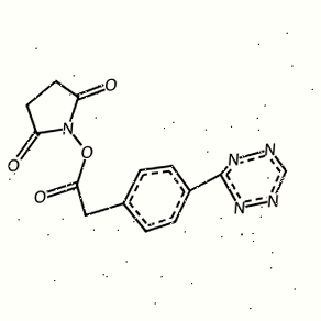 O=C(Cc1ccc(-c2nncnn2)cc1)ON1C(=O)CCC1=O